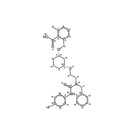 Cc1cccc(CO[C@H]2CCC[C@@H](OCCN(Cc3ccccc3)C(=O)Nc3ccc(F)cc3)C2)c1C(=O)O